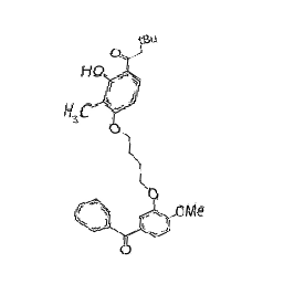 COc1ccc(C(=O)c2ccccc2)cc1OCCCCOc1ccc(C(=O)CC(C)(C)C)c(O)c1C